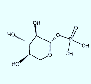 O=P(O)(O)O[C@@H]1OC[C@@H](O)[C@H](O)[C@H]1O